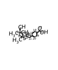 C#CC(C)(C)CC(C)(C)SSCc1ccc(C(=O)O)cc1